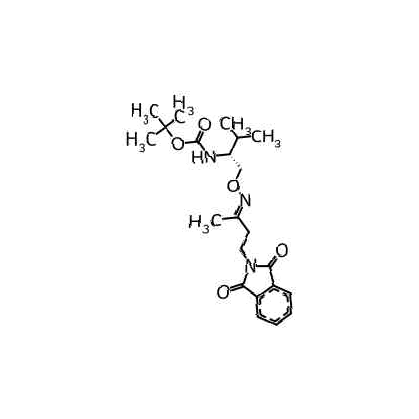 C/C(CCN1C(=O)c2ccccc2C1=O)=N\OC[C@H](NC(=O)OC(C)(C)C)C(C)C